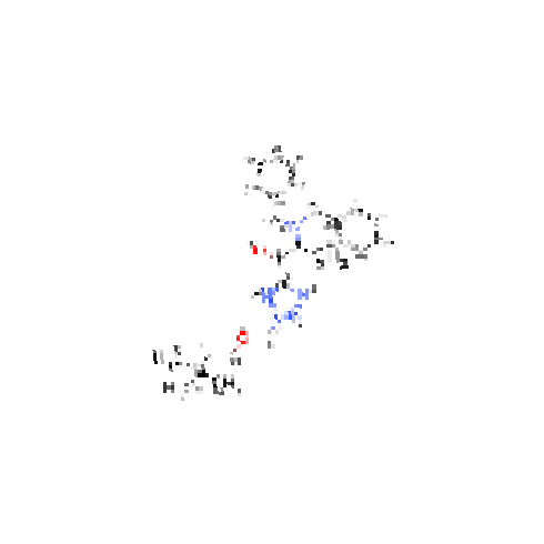 CC(C(=O)c1nnn(COCC[Si](C)(C)C)n1)N(Cc1ccccc1)Cc1ccccc1